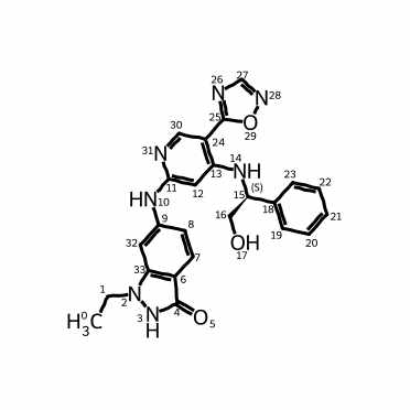 CCn1[nH]c(=O)c2ccc(Nc3cc(N[C@H](CO)c4ccccc4)c(-c4ncno4)cn3)cc21